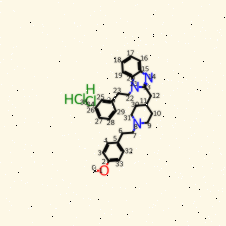 COc1ccc(CCN2CCC(Cc3nc4ccccc4n3CCc3ccccc3)CC2)cc1.Cl.Cl